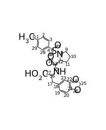 Cc1ccc(S(=O)(=O)N2CCC[C@H]2C(=O)NC(Cc2ccc3c(c2)OCO3)C(=O)O)cc1